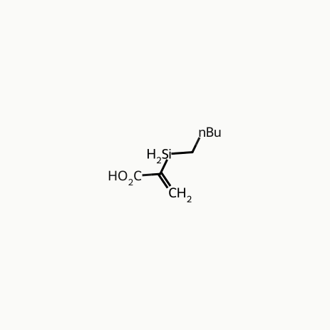 C=C([SiH2]CCCCC)C(=O)O